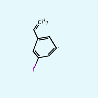 C=Cc1c[c]cc(I)c1